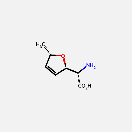 C[C@H]1C=C[C@H]([C@H](N)C(=O)O)O1